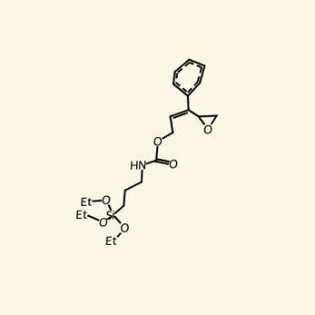 CCO[Si](CCCNC(=O)OCC=C(c1ccccc1)C1CO1)(OCC)OCC